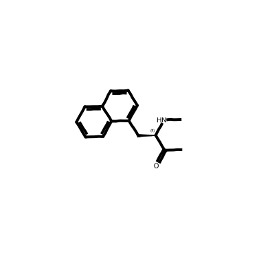 CN[C@H](Cc1cccc2ccccc12)C(C)=O